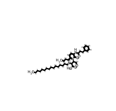 CCCCCCCCCCCCCCCCNC(C(=O)O)C(C=O)n1c(CCCC)ccc(NC(=O)CCc2ccccc2)c1=O